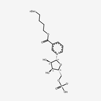 CCCCCCCCCCCCCCOC(=O)c1ccc[n+]([C@@H]2O[C@H](COP(=O)([O-])O)[C@@H](O)[C@H]2O)c1